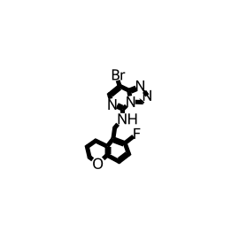 Fc1ccc2c(c1CNc1ncc(Br)c3nncn13)CCCO2